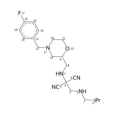 CC(C)CNCC(C#N)(C#N)NCC1CN(Cc2ccc(F)cc2)CCO1